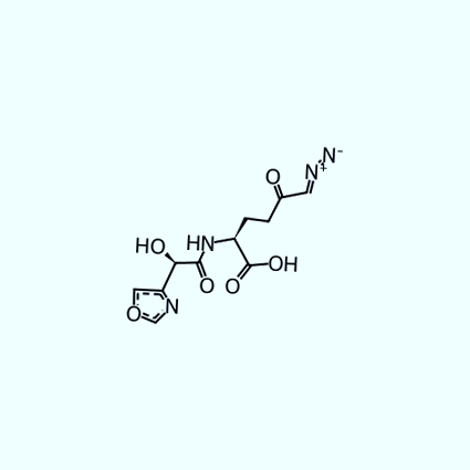 [N-]=[N+]=CC(=O)CC[C@H](NC(=O)[C@H](O)c1cocn1)C(=O)O